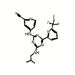 CC(C)CNc1nc(Nc2ccnc(C#N)c2)nc(-c2cccc(C(F)(F)F)n2)n1